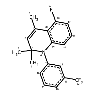 CC1=CC(C)(C)N(c2cccc(C(F)(F)F)c2)c2cccc(F)c21